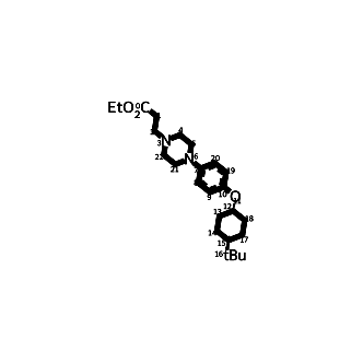 CCOC(=O)CCN1CCN(c2ccc(O[C@H]3CC[C@H](C(C)(C)C)CC3)cc2)CC1